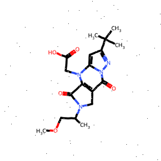 COCC(C)N1Cc2c(n(CC(=O)O)c3cc(C(C)(C)C)nn3c2=O)C1=O